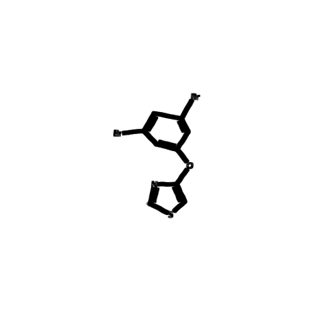 Brc1cc(Br)cc(Oc2cs[c]n2)c1